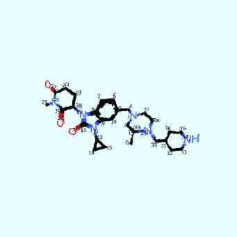 C[C@H]1CN(Cc2ccc3c(c2)n(C2CC2)c(=O)n3C2CCC(=O)N(C)C2=O)CCN1CC1CCNCC1